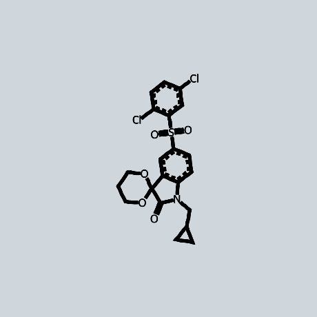 O=C1N(CC2CC2)c2ccc(S(=O)(=O)c3cc(Cl)ccc3Cl)cc2C12OCCCO2